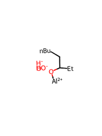 CCCCCC(CC)[O][Al+2].[OH-].[OH-]